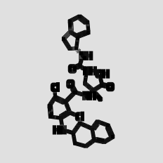 C[C@](CNC(=O)N[C@@H]1CCc2ccccc21)(NC(=O)c1c(Cl)ccc(NC2CCc3ccccc3C2)c1Cl)C(=O)O